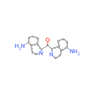 Nc1cccc2c(C(=O)c3nccc4c(N)cccc34)nccc12